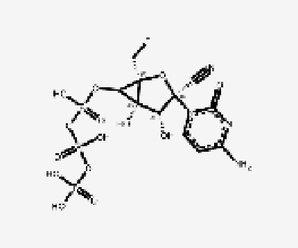 N#C[C@@]1(n2ccc(N)nc2=O)O[C@]2(CF)C(OP(=O)(O)OP(=O)(O)OP(=O)(O)O)[C@]2(O)[C@H]1O